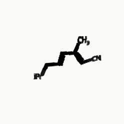 CC(C=CCC(C)C)=CC#N